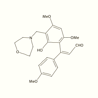 COc1ccc(C(=CC=O)c2c(OC)cc(OC)c(CN3CCOCC3)c2O)cc1